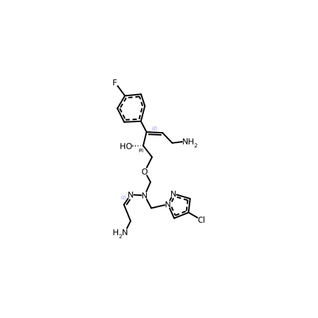 NC/C=N\N(COC[C@H](O)/C(=C\CN)c1ccc(F)cc1)Cn1cc(Cl)cn1